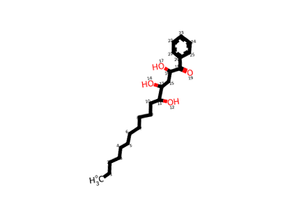 CCCCCCCCCCCC(O)C(O)CC(O)C(=O)c1ccccc1